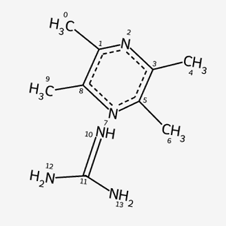 Cc1nc(C)c(C)nc1C.N=C(N)N